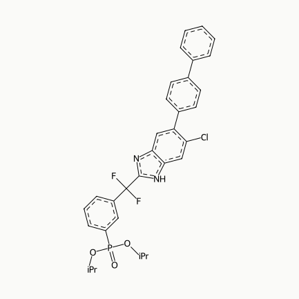 CC(C)OP(=O)(OC(C)C)c1cccc(C(F)(F)c2nc3cc(-c4ccc(-c5ccccc5)cc4)c(Cl)cc3[nH]2)c1